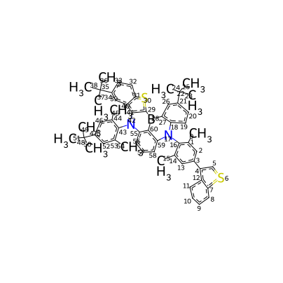 Cc1cc(-c2csc3ccccc23)cc(C)c1N1c2ccc(C(C)(C)C)cc2B2c3sc4ccc(C(C)(C)C)cc4c3N(c3c(C)cc(C(C)(C)C)cc3C)c3cccc1c32